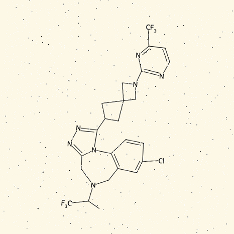 CC(N1Cc2cc(Cl)ccc2-n2c(nnc2C2CC3(C2)CN(c2nccc(C(F)(F)F)n2)C3)C1)C(F)(F)F